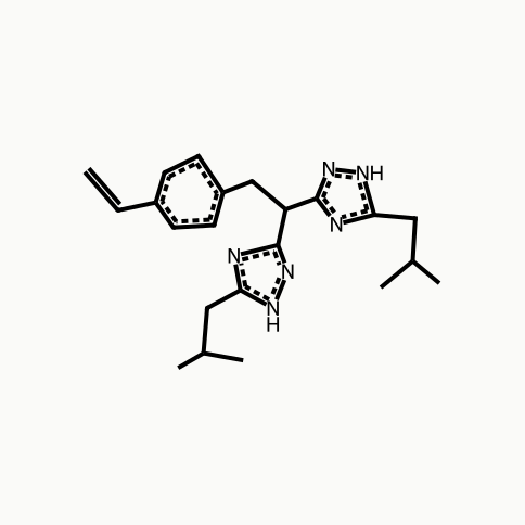 C=Cc1ccc(CC(c2n[nH]c(CC(C)C)n2)c2n[nH]c(CC(C)C)n2)cc1